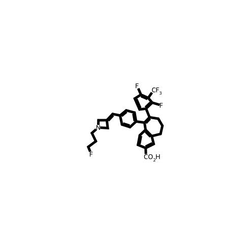 O=C(O)c1ccc2c(c1)CCCC(c1ccc(F)c(C(F)(F)F)c1F)=C2c1ccc(C=C2CN(CCCF)C2)cc1